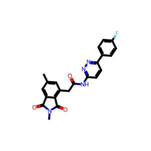 Cc1cc(CC(=O)Nc2ccc(-c3ccc(F)cc3)nn2)c2c(c1)C(=O)N(C)C2=O